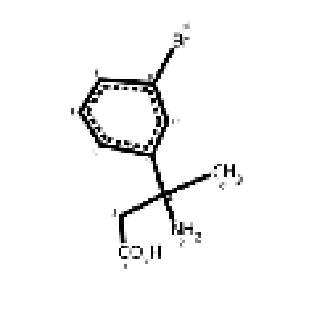 CC(N)(CC(=O)O)c1cccc(Br)c1